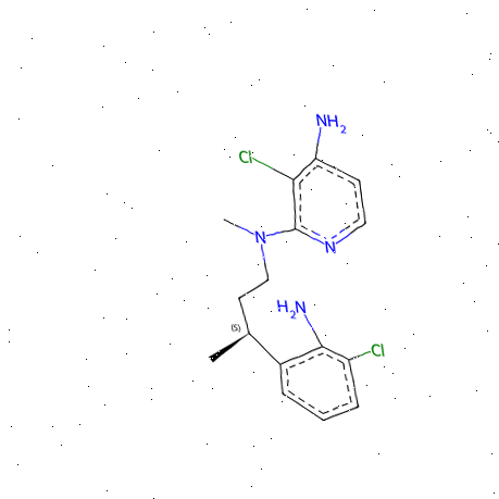 C[C@@H](CCN(C)c1nccc(N)c1Cl)c1cccc(Cl)c1N